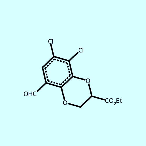 CCOC(=O)C1COc2c(C=O)cc(Cl)c(Cl)c2O1